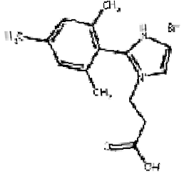 Cc1cc(C)c(-c2[nH]cc[n+]2CCC(=O)O)c(C)c1.[Br-]